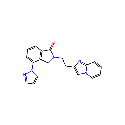 O=C1c2cccc(-n3cccn3)c2CN1CCc1cn2ccccc2n1